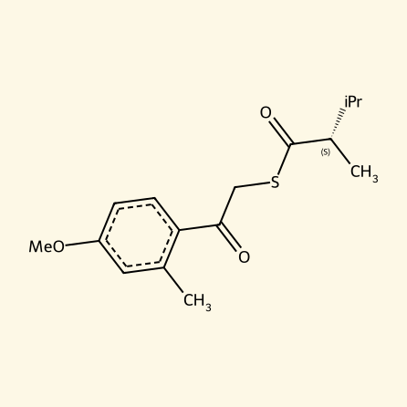 COc1ccc(C(=O)CSC(=O)[C@@H](C)C(C)C)c(C)c1